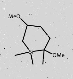 COC1CCC(C)(OC)[Si](C)(C)C1